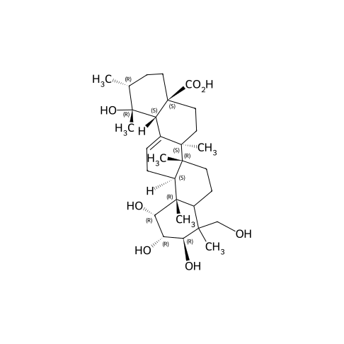 C[C@@H]1CC[C@]2(C(=O)O)CC[C@]3(C)C(=CC[C@@H]4[C@]5(C)C(CC[C@]43C)C(C)(CO)[C@@H](O)[C@H](O)[C@@H]5O)[C@@H]2[C@]1(C)O